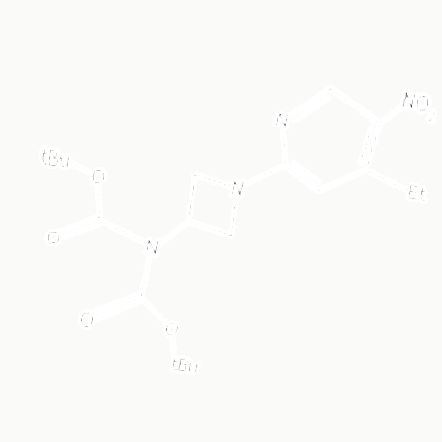 CCc1cc(N2CC(N(C(=O)OC(C)(C)C)C(=O)OC(C)(C)C)C2)ncc1[N+](=O)[O-]